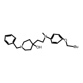 CCC(C)COc1ccc(N(C)CCC2(O)CCN(Cc3ccccc3)CC2)cc1